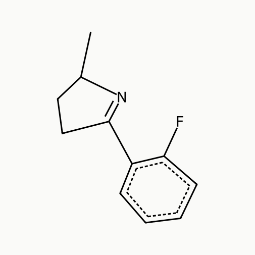 CC1CCC(c2ccccc2F)=N1